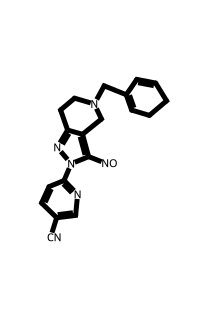 N#Cc1ccc(-n2nc3c(c2N=O)CN(CC2=CCCC=C2)CC3)nc1